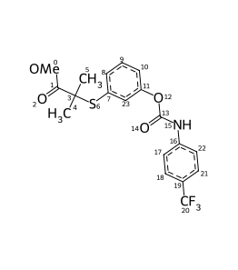 COC(=O)C(C)(C)Sc1cccc(OC(=O)Nc2ccc(C(F)(F)F)cc2)c1